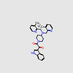 Cc1cccnc1CN(Cc1ncccc1C)C1CCN(C(=O)C(=O)c2c[nH]c3ccccc23)CC1